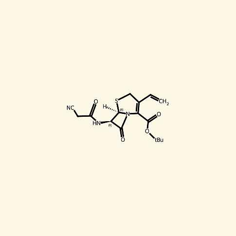 C=CC1=C(C(=O)OC(C)(C)C)N2C(=O)[C@@H](NC(=O)CC#N)[C@H]2SC1